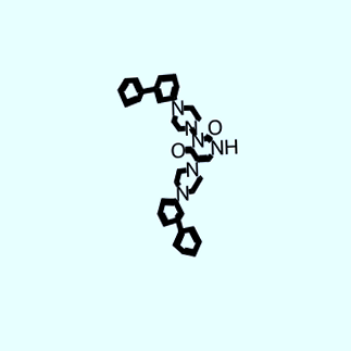 O=c1[nH]cc(N2CCN(c3cccc(-c4ccccc4)c3)CC2)c(=O)n1N1CCN(c2cccc(-c3ccccc3)c2)CC1